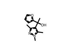 Cc1nn(C)c(C)c1C(C)(O)c1ccco1